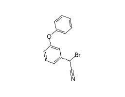 N#CC(Br)c1cccc(Oc2ccccc2)c1